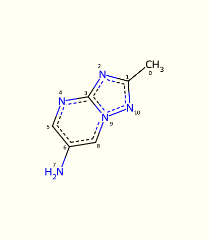 Cc1nc2ncc(N)cn2n1